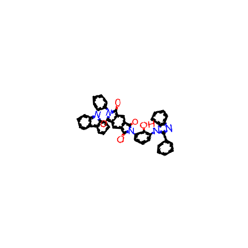 O=c1c2cc3c(=O)n(-c4cccc(-n5c(-c6ccccc6)nc6ccccc65)c4O)c(=O)c3cc2c(=O)n1-c1ccccc1-n1c2ccccc2c2ccccc21